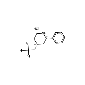 Cl.[2H]C([2H])([2H])C[C@@H]1CCN[C@H](c2ccccc2)C1